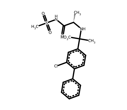 C[C@H](NC(C)(C(=O)O)c1ccc(-c2ccccc2)c(Cl)c1)C(=O)NS(C)(=O)=O